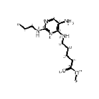 CCCNc1ncc(N)c(NCCCCC(=O)OC)n1